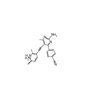 C=C(N)/C=C\C(C#Cc1c(C)nc(N)nc1-c1ccc(C#N)cc1)=C(\C)N